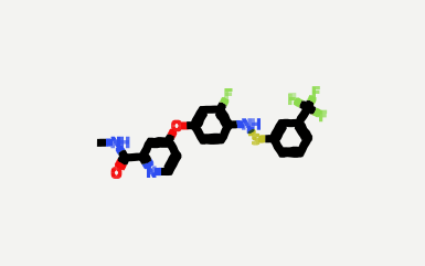 CNC(=O)c1cc(Oc2ccc(NSc3cccc(C(F)(F)F)c3)c(F)c2)ccn1